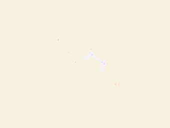 Oc1ccc(C(F)(F)C(F)(F)F)nn1